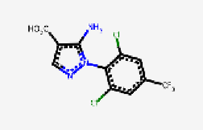 Nc1c(C(=O)O)cnn1-c1c(Cl)cc(C(F)(F)F)cc1Cl